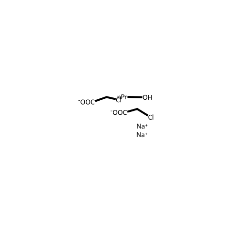 CCCO.O=C([O-])CCl.O=C([O-])CCl.[Na+].[Na+]